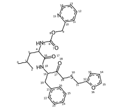 CC(C)CC(NC(=O)OCc1ccccn1)C(=O)NC(Cc1ccccc1)C(=O)CSCc1ccco1